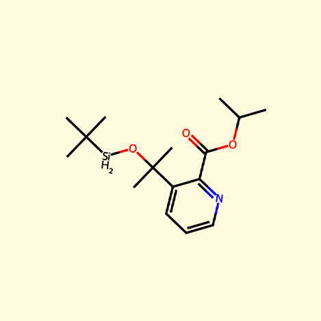 CC(C)OC(=O)c1ncccc1C(C)(C)O[SiH2]C(C)(C)C